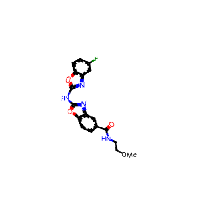 COCCNC(=O)c1ccc2oc(Nc3nc4cc(F)ccc4o3)nc2c1